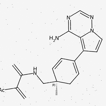 C=C(NC[C@@]1(C)C=CC(c2ccn3ncnc(N)c23)=CC1)C(=C)C(C)=O